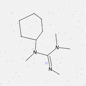 C/N=C(\N(C)C)N(C)C1CCCCC1